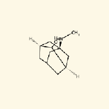 CN[C@]12CC3C[C@H](C1)C(O)[C@@H](C3)C2